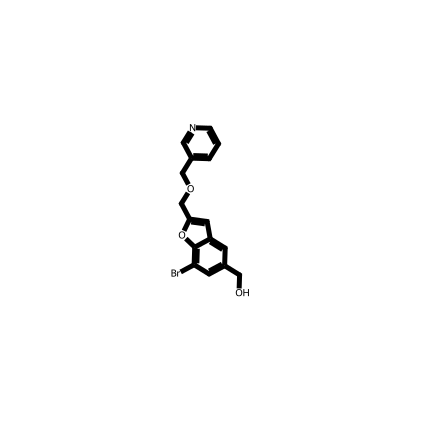 OCc1cc(Br)c2oc(COCc3cccnc3)cc2c1